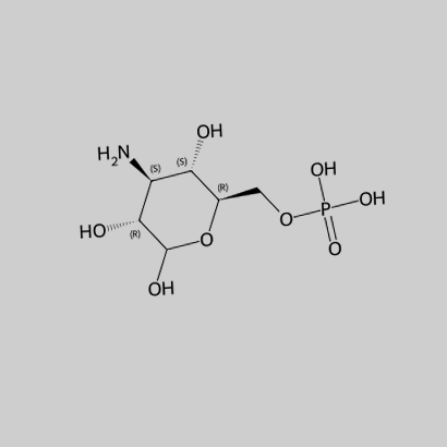 N[C@H]1[C@H](O)[C@@H](COP(=O)(O)O)OC(O)[C@@H]1O